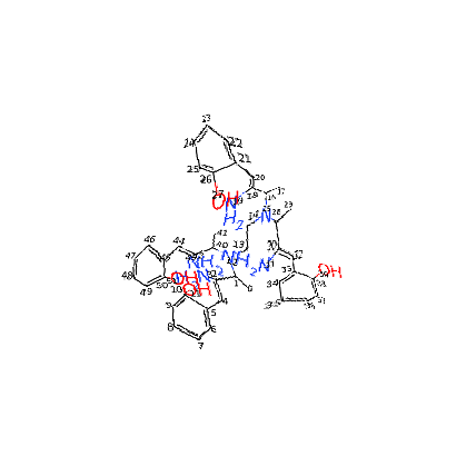 CC(C(N)=Cc1ccccc1O)N(CCN(C(C)C(N)=Cc1ccccc1O)C(C)C(N)=Cc1ccccc1O)C(C)C(N)=Cc1ccccc1O